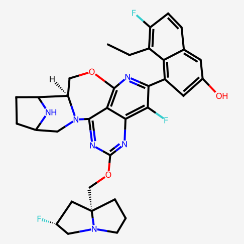 CCc1c(F)ccc2cc(O)cc(-c3nc4c5c(nc(OC[C@]67CCCN6C[C@H](F)C7)nc5c3F)N3CC5CCC(N5)[C@H]3CO4)c12